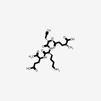 C#CC[C@H](NC(=O)CC[C@H](C)C(=O)O)C(=O)N[C@@H](CCCCN)C(=O)NC(CCC(=O)O)C(C)=O